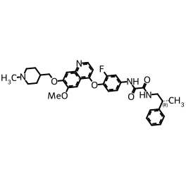 COc1cc2c(Oc3ccc(NC(=O)C(=O)NC[C@H](C)c4ccccc4)cc3F)ccnc2cc1OCC1CCN(C)CC1